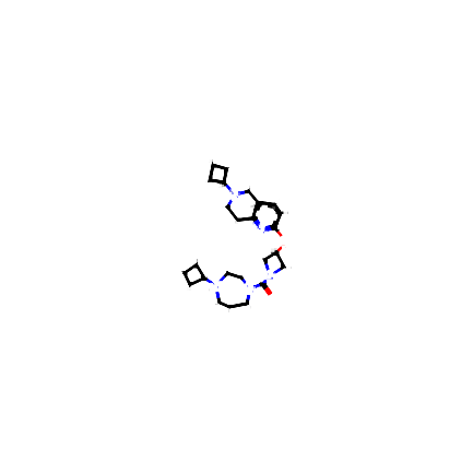 O=C(N1CCCN(C2CCC2)CC1)N1CC(Oc2ccc3c(n2)CCN(C2CCC2)C3)C1